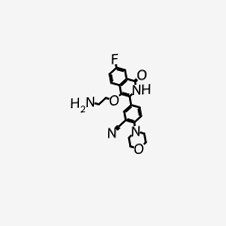 N#Cc1cc(-c2[nH]c(=O)c3cc(F)ccc3c2OCCN)ccc1N1CCOCC1